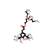 CCCO[Si](C)(CCCOC(=O)CCc1cc(C(C)(C)C)c(O)c(C(C)(C)C)c1)OCCC